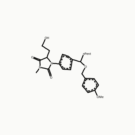 CCCCCC(OCc1ccc(OC)cc1)c1ccc(N2C(=O)N(C)C(=O)C2CCO)cc1